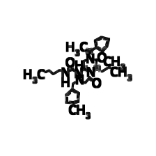 CCCCNC(=O)N1[C@H]2CN([C@@H](C)c3ccccc3)C(=O)[C@H](CC(C)C)N2C(=O)CN1Cc1ccc(C)cc1